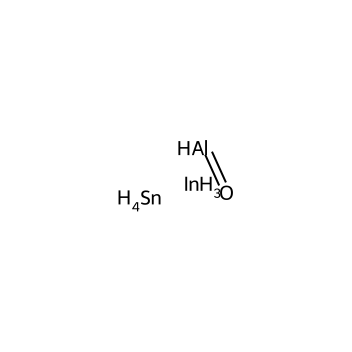 [InH3].[O]=[AlH].[SnH4]